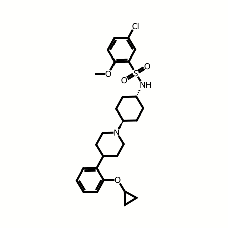 COc1ccc(Cl)cc1S(=O)(=O)N[C@H]1CC[C@H](N2CCC(c3ccccc3OC3CC3)CC2)CC1